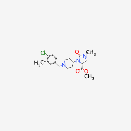 COC(=O)[C@@H]1CN(C)C(=O)N1C1CCN(Cc2ccc(Cl)c(C)c2)CC1